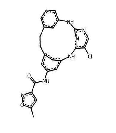 Cc1cc(C(=O)Nc2cc3cc(c2)Nc2nc(ncc2Cl)Nc2cccc(c2)CC3)no1